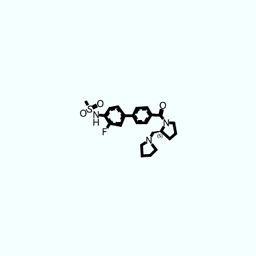 CS(=O)(=O)Nc1ccc(-c2ccc(C(=O)N3CCC[C@H]3CN3CCCC3)cc2)cc1F